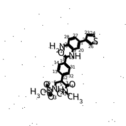 CN(C)C(=O)C(CNS(C)(=O)=O)c1ccc(C(=O)Nc2cc(-c3ccsc3)ccc2N)cc1